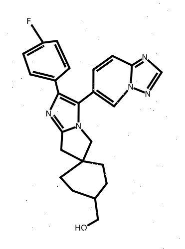 OCC1CCC2(CC1)Cc1nc(-c3ccc(F)cc3)c(-c3ccc4ncnn4c3)n1C2